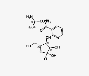 CC[C@H](C)[C@H](N)C(=O)O.NC(=O)c1cccnc1.OC[C@H]1OC(O)(Cl)[C@H](O)[C@@H]1O